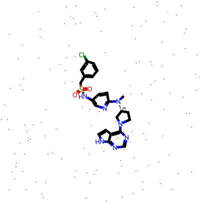 CN(c1ccc(NS(=O)(=O)Cc2cccc(Cl)c2)cn1)[C@@H]1CCN(c2ncnc3[nH]ccc23)C1